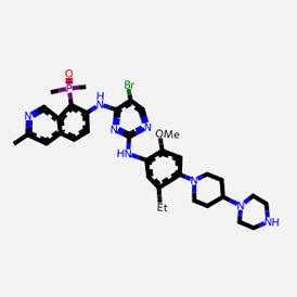 CCc1cc(Nc2ncc(Br)c(Nc3ccc4cc(C)ncc4c3P(C)(C)=O)n2)c(OC)cc1N1CCC(N2CCNCC2)CC1